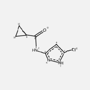 O=C(Nc1cc(Cl)[nH]n1)C1CC1